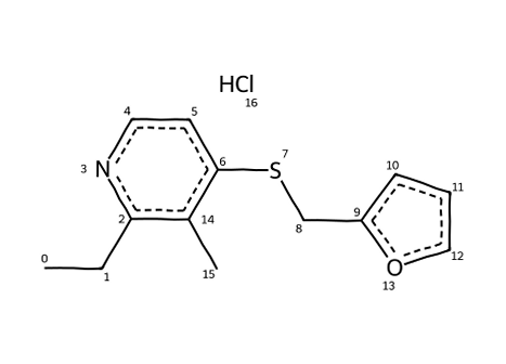 CCc1nccc(SCc2ccco2)c1C.Cl